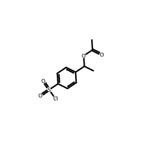 CC(=O)OC(C)c1ccc(S(=O)(=O)Cl)cc1